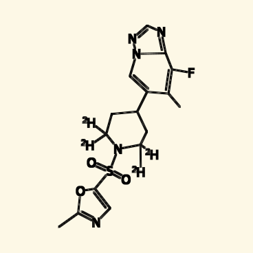 [2H]C1([2H])CC(c2cn3ncnc3c(F)c2C)CC([2H])([2H])N1S(=O)(=O)c1cnc(C)o1